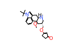 CO[C@]12C[C@@H](COC3=CC(=O)CC3)CN(C)[C@@H]1Cc1cn(C(C)(C)C)c3cccc2c13